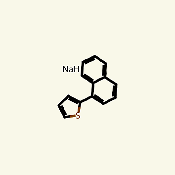 [NaH].c1csc(-c2cccc3ccccc23)c1